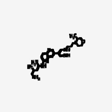 CC(C)C(=C/N)/C=C(\N)Nc1ccc2ncc(/C(C=N)=C/NCCCN3CCOCC3C)cc2n1